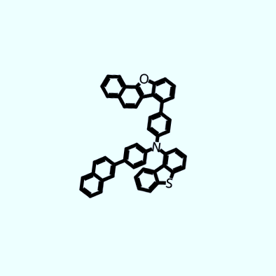 c1ccc2cc(-c3ccc(N(c4ccc(-c5cccc6oc7c8ccccc8ccc7c56)cc4)c4cccc5sc6ccccc6c45)cc3)ccc2c1